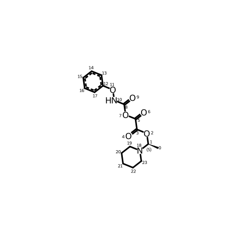 C[C@H](OC(=O)C(=O)OC(=O)NOc1ccccc1)N1CCCCC1